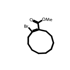 COC(=O)/C1=C(\Br)CCCCCCCCC1